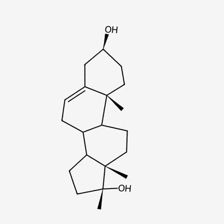 C[C@]12CC[C@H](O)CC1=CCC1C2CC[C@@]2(C)C1CC[C@@]2(C)O